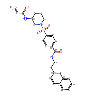 C=CC(=O)N[C@H]1CCCN(S(=O)(=O)c2ccc(C(=O)NCCc3ccc4ccccc4c3)cc2)C1